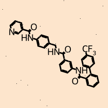 O=C(NCc1ccc(NC(=O)c2cccnc2)cc1)c1cccc(NC(=O)c2ccccc2-c2ccc(C(F)(F)F)cc2)c1